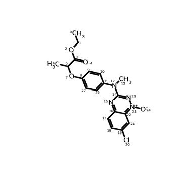 CCOC(=O)C(C)Oc1ccc(N(C)c2nc3ccc(Cl)cc3[n+]([O-])n2)cc1